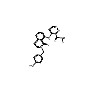 CNC(=O)c1nnccc1Nc1cccc2ccn(Cc3ccc(OC)cc3)c(=O)c12